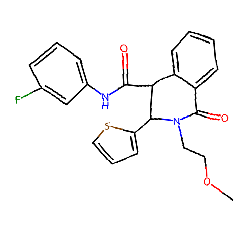 COCCN1C(=O)c2ccccc2C(C(=O)Nc2cccc(F)c2)C1c1cccs1